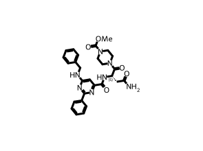 COC(=O)N1CCN(C(=O)[C@H](CC(N)=O)NC(=O)c2cc(NCc3ccccc3)nc(-c3ccccc3)n2)CC1